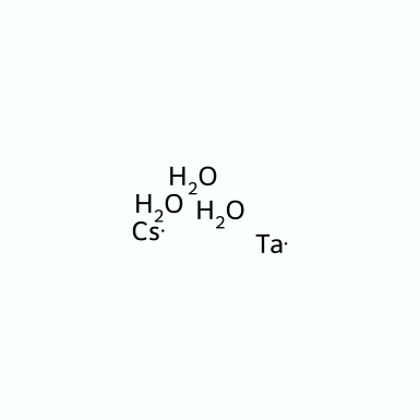 O.O.O.[Cs].[Ta]